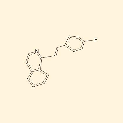 Fc1ccc(C=Cc2nccc3ccccc23)cc1